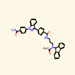 COC(=O)N(CCCNC(=O)c1ccc(-c2nn(-c3ccc(C(N)=O)cc3)c3ccccc23)cc1)C1c2ccccc2-c2ccccc21